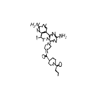 C/C=C/C(=O)N1CCC(C(=O)N2CCN(c3nc(N)nc(-c4cnc(N)nc4C(F)F)n3)CC2)CC1